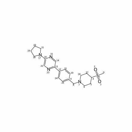 CS(=O)(=O)C1CCN(Cc2ccc(-c3cnc(N4CCCC4)cn3)cc2)CC1